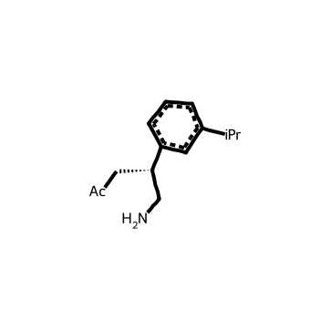 CC(=O)C[C@@H](CN)c1cccc(C(C)C)c1